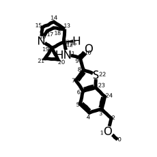 COCc1ccc2cc(C(=O)N[C@H]3C4CCN(CC4)C34CC4)sc2c1